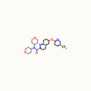 O=C(c1ccc2cc(Oc3ccc(C(F)(F)F)cn3)ccc2n1)N(C1CCOCC1)C1CCOCC1